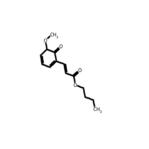 CCCCOC(=O)C=CC1=CC=CC(OC)C1=O